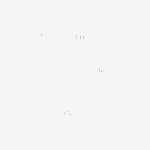 Nc1cccc([N+](=O)[O-])c1C(=O)CCC(N)C(=O)O